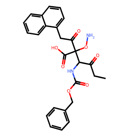 CCC(=O)C(NC(=O)OCc1ccccc1)C(ON)(C(=O)O)C(=O)Cc1cccc2ccccc12